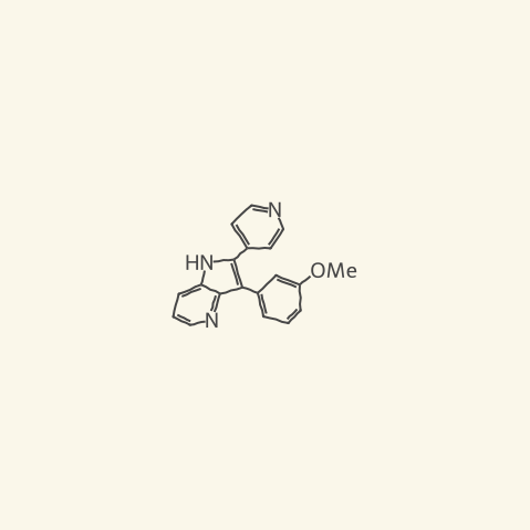 COc1cccc(-c2c(-c3ccncc3)[nH]c3cccnc23)c1